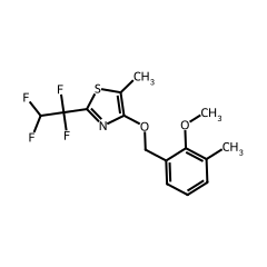 COc1c(C)cccc1COc1nc(C(F)(F)C(F)F)sc1C